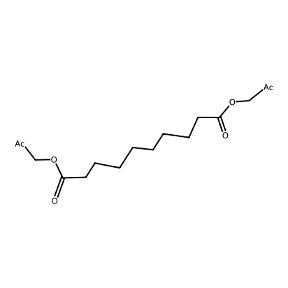 CC(=O)COC(=O)CCCCCCCCC(=O)OCC(C)=O